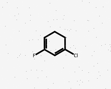 FC1=CC[CH]C(Cl)=C1